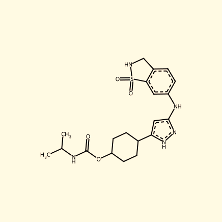 CC(C)NC(=O)OC1CCC(c2cc(Nc3ccc4c(c3)S(=O)(=O)NC4)n[nH]2)CC1